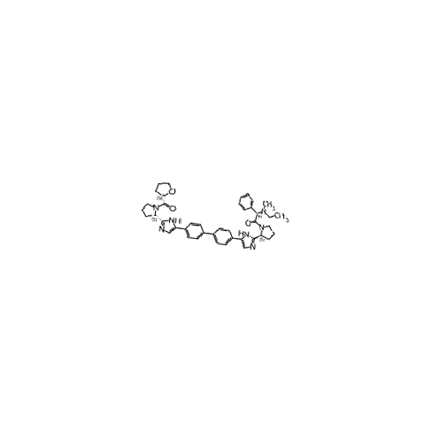 CCN(C)[C@@H](C(=O)N1CCC[C@H]1c1ncc(-c2ccc(-c3ccc(-c4cnc([C@@H]5CCCN5C(=O)[C@@H]5CCCO5)[nH]4)cc3)cc2)[nH]1)c1ccccc1